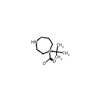 CC(C)(C)[N+]1(C(=O)[O-])CCCNCC1